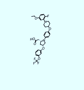 CCOc1ccc(F)c(N2CCC(Oc3ccc(N4C[C@H](Oc5cccc(OC(F)(F)F)c5)C[C@@H]4CC(=O)O)cc3)CC2)c1